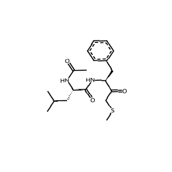 CSCC(=O)[C@H](Cc1ccccc1)NC(=O)[C@H](CC(C)C)NC(C)=O